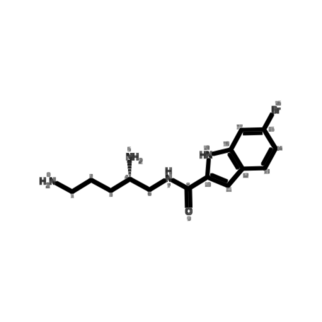 NCCC[C@H](N)CNC(=O)c1cc2ccc(Br)cc2[nH]1